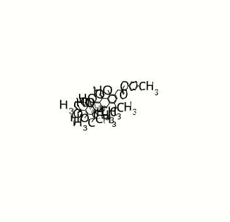 CC(=O)C1=C(O)C(C(C)C)[C@@]2(C)C[C@@]3(C)Cc4c(C(C)C)cc(CC(=O)Oc5ccc(C)cc5)c(O)c4C(=O)C3=C(O)[C@@]2(O)C1=O